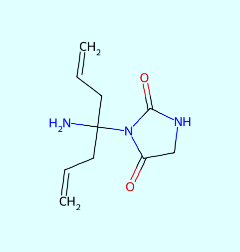 C=CCC(N)(CC=C)N1C(=O)CNC1=O